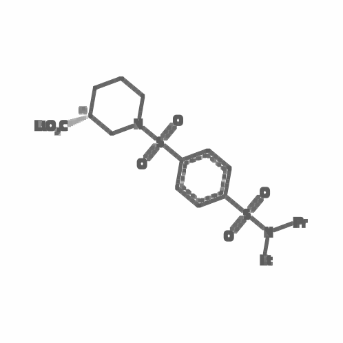 CCOC(=O)[C@@H]1CCCN(S(=O)(=O)c2ccc(S(=O)(=O)N(CC)C(C)C)cc2)C1